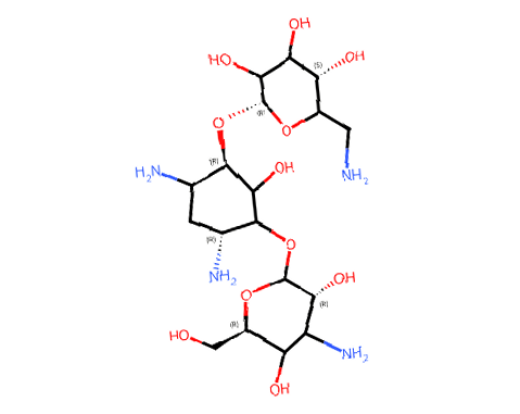 NCC1O[C@H](O[C@@H]2C(N)C[C@@H](N)C(OC3O[C@H](CO)C(O)C(N)[C@H]3O)C2O)C(O)C(O)[C@@H]1O